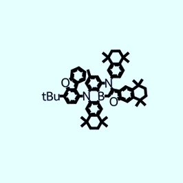 Cc1cc2c3c(c1)N(c1ccc(C(C)(C)C)c4oc5ccccc5c14)c1cc4c(cc1B3c1oc3cc5c(cc3c1N2c1ccc2c(c1)C(C)(C)CCC2(C)C)C(C)(C)CCC5(C)C)C(C)(C)CCC4(C)C